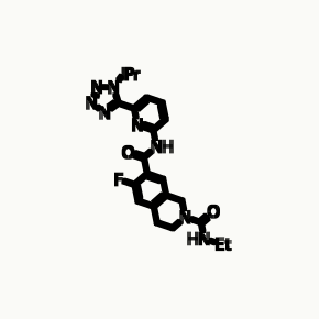 CCNC(=O)N1CCc2cc(F)c(C(=O)Nc3cccc(-c4nnnn4C(C)C)n3)cc2C1